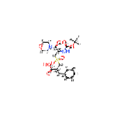 CC(C)(C)OC(=O)N[C@@H](CS(=O)(=O)C[C@@H](Cc1ccccc1)C(=O)O)C(=O)N1CCOCC1